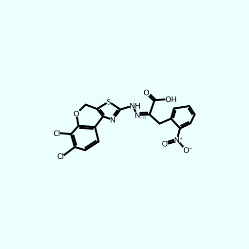 O=C(O)/C(Cc1ccccc1[N+](=O)[O-])=N\Nc1nc2c(s1)COc1c-2ccc(Cl)c1Cl